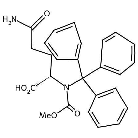 COC(=O)N([C@@H](CCC(N)=O)C(=O)O)C(c1ccccc1)(c1ccccc1)c1ccccc1